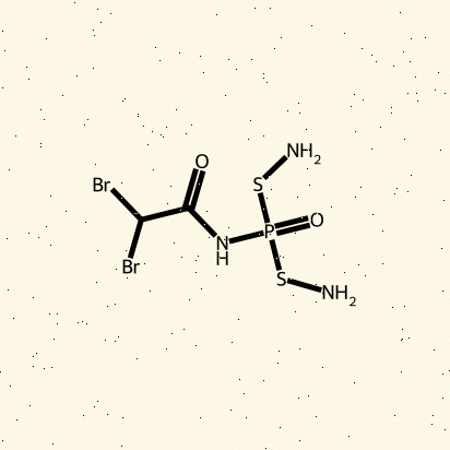 NSP(=O)(NC(=O)C(Br)Br)SN